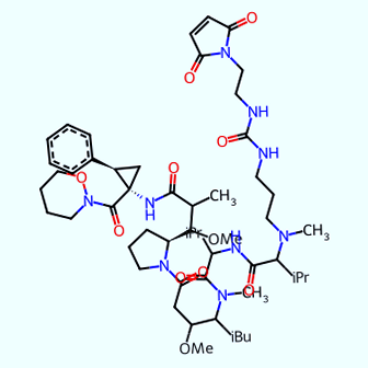 CCC(C)C(C(CC(=O)N1CCC[C@H]1C(OC)C(C)C(=O)N[C@@]1(C(=O)N2CCCCO2)C[C@@H]1c1ccccc1)OC)N(C)C(=O)C(NC(=O)C(C(C)C)N(C)CCCNC(=O)NCCN1C(=O)C=CC1=O)C(C)C